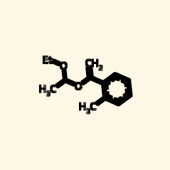 C=C(OC(C)OCC)c1ccccc1C